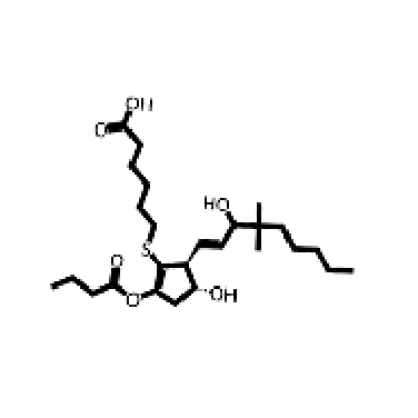 CCCCCC(C)(C)C(O)C=C[C@@H]1C(SCCCCCC(=O)O)=C(OC(=O)CCC)C[C@H]1O